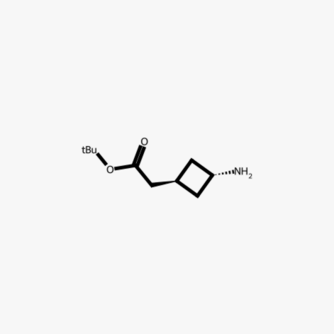 CC(C)(C)OC(=O)C[C@H]1C[C@H](N)C1